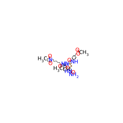 CC(=O)OCc1ccc(NC(=O)C(NC(=O)[C@@H](NC(=O)CCCCCN2C(=O)CC(C)C2=O)C(C)C)SCCNC(N)=O)cc1